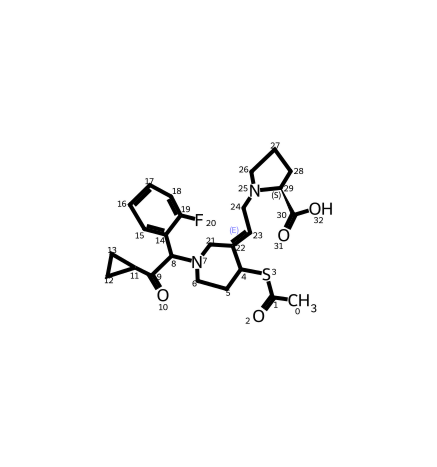 CC(=O)SC1CCN(C(C(=O)C2CC2)c2ccccc2F)C/C1=C\CN1CCC[C@H]1C(=O)O